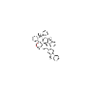 O=P1(c2ccccc2)c2ccccc2C2(c3ccccc3Sc3cc(-c4ccc5c(c4)sc4ccccc45)ccc32)c2cc3c(cc21)oc1ccccc13